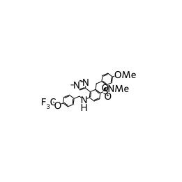 CNS(=O)(=O)c1ccc(NCc2ccc(OC(F)(F)F)cc2)c(-c2cn(C)cn2)c1Cc1ccc(OC)cc1